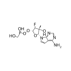 C[C@]1(O)C(F)[C@@H](OOP(O)CO)O[C@H]1n1ccc2c(N)ncnc21